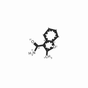 Cc1oc2ccccc2c1C(N)=O